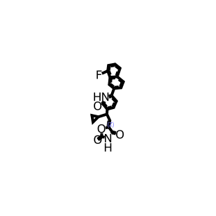 O=C1NC(=O)/C(=C/C(c2ccc(-c3ccc4cccc(F)c4c3)[nH]c2=O)C2CC2)O1